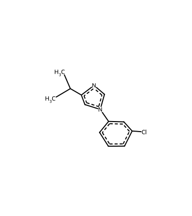 CC(C)c1cn(-c2cccc(Cl)c2)cn1